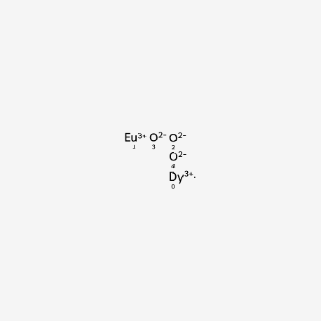 [Dy+3].[Eu+3].[O-2].[O-2].[O-2]